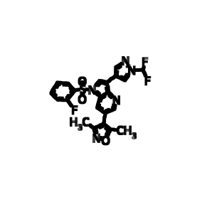 Cc1noc(C)c1-c1cnc2c(-c3cnn(C(F)F)c3)cn(S(=O)(=O)c3ccccc3F)c2c1